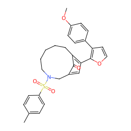 COc1ccc(-c2ccoc2C2=C3CCCCCN(S(=O)(=O)c4ccc(C)cc4)CC(=C2)C3=O)cc1